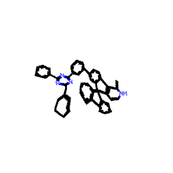 CC1NC=CC2=C1c1ccc(-c3cccc(-c4nc(-c5ccccc5)nc(C5CCCCC5)n4)c3)cc1C21c2ccccc2-c2ccccc21